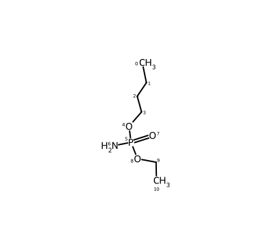 CCCCOP(N)(=O)OCC